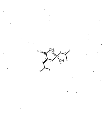 CC(C)/C=C(\CP(=O)(O)CC(C)C)C(=O)O